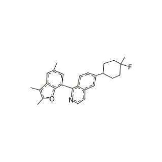 Cc1cc(-c2nccc3cc(C4CCC(C)(F)CC4)ccc23)c2oc(C)c(C)c2c1